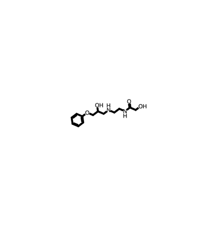 O=C(CO)NCCNCC(O)COc1ccccc1